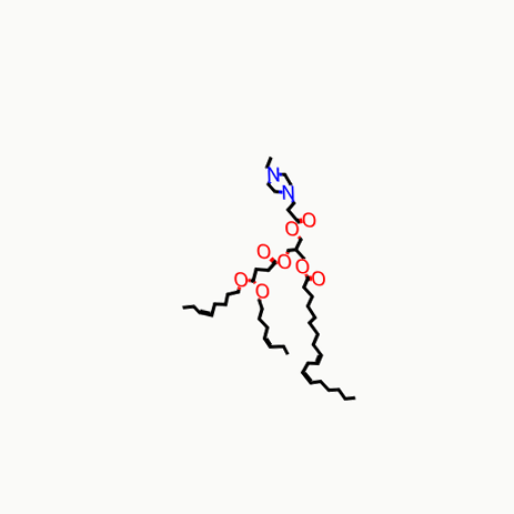 CC/C=C\CCCCOC(CCC(=O)OCC(COC(=O)CCCCCCC/C=C\C/C=C\CCCCC)COC(=O)CCN1CCN(CC)CC1)OCCCC/C=C\CC